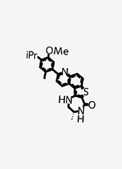 COc1cc(-c2ccc3c(ccc4sc5c(c43)NC[C@@H](C)NC5=O)n2)c(C)cc1C(C)C